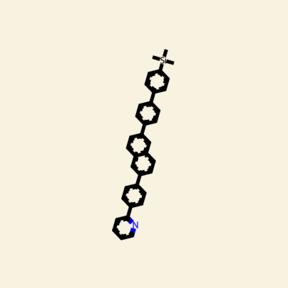 C[Si](C)(C)c1ccc(-c2ccc(-c3ccc4cc(-c5ccc(-c6ccccn6)cc5)ccc4c3)cc2)cc1